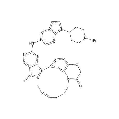 CC(C)N1CCC(n2ccc3cc(Nc4ncc5c(=O)n6n(c5n4)-c4ccc5c(c4)N(CCC/C=C\C6)C(=O)CO5)cnc32)CC1